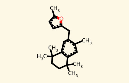 Cc1ccc(Cc2cc3c(cc2C)C(C)(C)CCC3(C)C)o1